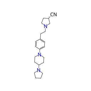 N#CC1CCN(CCc2ccc(N3CCC(N4CCCC4)CC3)cc2)C1